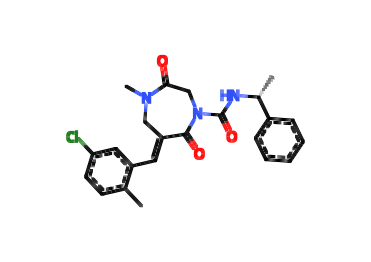 Cc1ccc(Cl)cc1/C=C1\CN(C)C(=O)CN(C(=O)N[C@H](C)c2ccccc2)C1=O